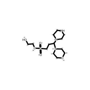 O=S(=O)(CCC(N1CCNCC1)N1CCOCC1)OCCO